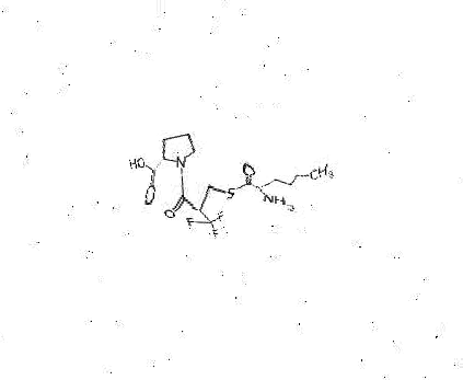 CCCCC(N)C(=O)SCC(C(=O)N1CCC[C@H]1C(=O)O)C(F)(F)F